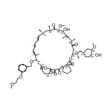 COCCOc1cccc(COC2C[C@@H]3CC[C@@H](C)[C@@](O)(O3)C(=O)C(=O)N3CCCC[C@H]3C(=O)O[C@H]([C@H](C)C[C@@H]3CC[C@@H](O)[C@H](OC)C3)CC(=O)[C@H](C)/C=C(\C)[C@H](O)[C@@H](OC)C(=O)[C@H](C)C[C@H](C)/C=C/C=C/C=C/2C)c1